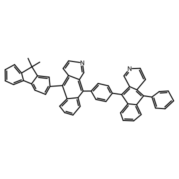 CC1(C)c2ccccc2-c2ccc(-c3c4ccccc4c(-c4ccc(-c5c6ccccc6c(-c6ccccc6)c6ccncc56)cc4)c4cnccc34)cc21